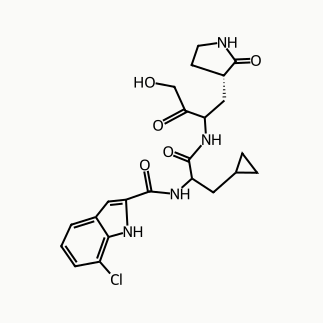 O=C(NC(CC1CC1)C(=O)NC(C[C@@H]1CCNC1=O)C(=O)CO)c1cc2cccc(Cl)c2[nH]1